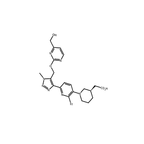 CCc1nc(-c2nnn(C)c2COc2nccc(CO)n2)ccc1N1CCC[C@H](CC(=O)O)C1